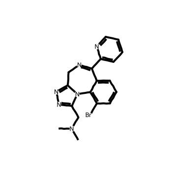 CN(C)Cc1nnc2n1-c1c(Br)cccc1C(c1ccccn1)=NC2